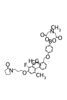 Cc1cc(OCCCN2CCCC2=O)c(F)c(C)c1-c1cccc(COc2ccc(B3OC(=O)CN(C)CC(=O)O3)cc2)c1C